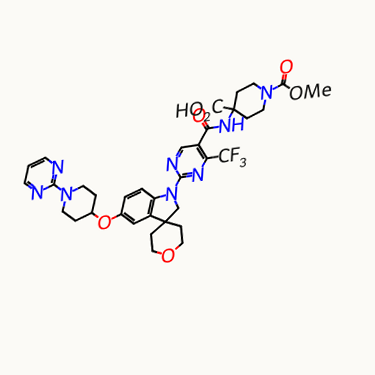 COC(=O)N1CCC(NC(=O)c2cnc(N3CC4(CCOCC4)c4cc(OC5CCN(c6ncccn6)CC5)ccc43)nc2C(F)(F)F)(C(=O)O)CC1